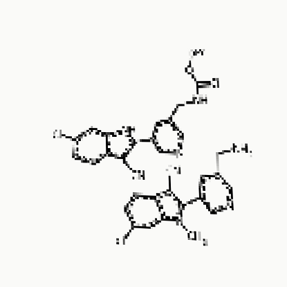 CCCOC(=O)NCc1cncc(-c2[nH]c3cc(Cl)ccc3c2C#N)c1.Cn1c(-c2cncc(CN)c2)c(C#N)c2ccc(Cl)cc21